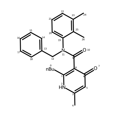 CCCCc1[nH]c(C)cc(=O)c1C(=O)N(Cc1ccccc1)c1cccc(C)c1C